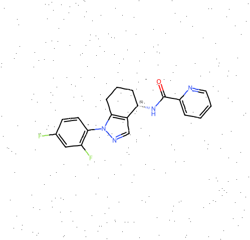 O=C(N[C@H]1CCCc2c1cnn2-c1ccc(F)cc1F)c1ccccn1